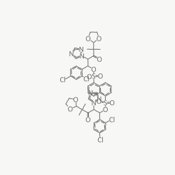 CC(C)(C(=O)C(C(OS(=O)(=O)c1cccc2c(S(=O)(=O)OC(c3ccc(Cl)cc3Cl)C(C(=O)C(C)(C)C3OCCO3)n3cncn3)cccc12)c1ccc(Cl)cc1Cl)n1cncn1)C1OCCO1